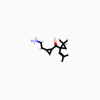 CC(C)=CC1(C(=O)C2CC2CCN)CC1(C)C